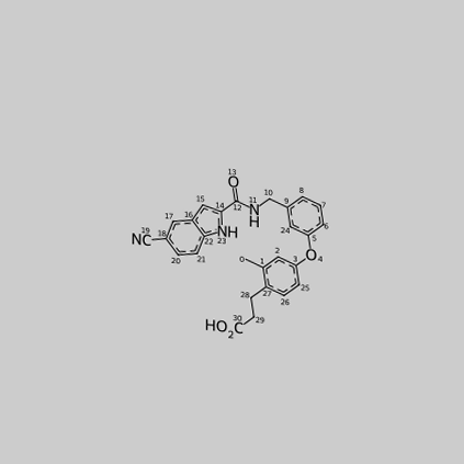 Cc1cc(Oc2cccc(CNC(=O)c3cc4cc(C#N)ccc4[nH]3)c2)ccc1CCC(=O)O